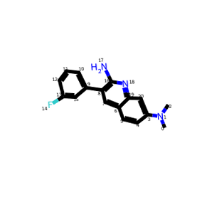 CN(C)c1ccc2cc(-c3cccc(F)c3)c(N)nc2c1